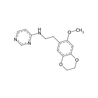 COc1cc2c(cc1CCNc1ccncn1)OCCO2